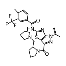 C=C(C)n1nc(C(=O)N2CCC[C@H]2CN2CCCC2)c2sc(NC(=O)c3ccc(C)c(C(F)(F)F)c3)nc21